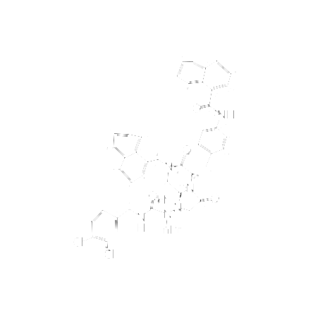 CCCN(C(=O)NCc1ccc(Cl)c(Cl)c1)N1CC(=O)N2[C@@H](Cc3ccc(NC(=O)c4cccc5ccccc45)cc3)C(=O)N(Cc3cccc4ccccc34)C[C@@H]21